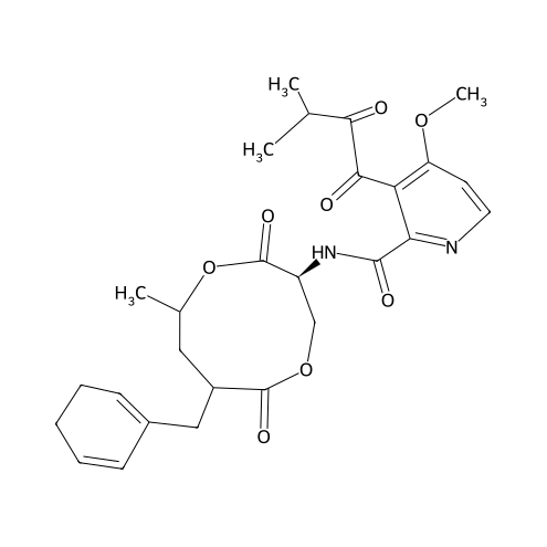 COc1ccnc(C(=O)N[C@H]2COC(=O)C(CC3=CCCC=C3)CC(C)OC2=O)c1C(=O)C(=O)C(C)C